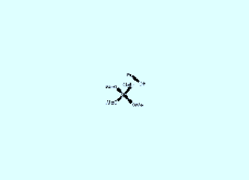 CC(C)O.CO[Si](OC)(OC)OC